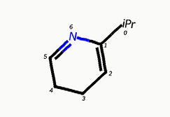 CC(C)C1=CCCC=N1